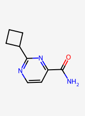 NC(=O)c1ccnc(C2CCC2)n1